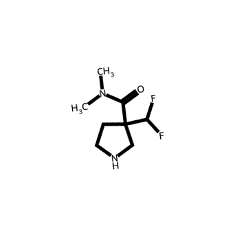 CN(C)C(=O)C1(C(F)F)CCNC1